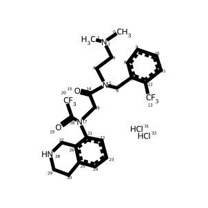 CN(C)CCN(Cc1ccccc1C(F)(F)F)C(=O)CN(C(=O)C(F)(F)F)c1cccc2c1CNCC2.Cl.Cl